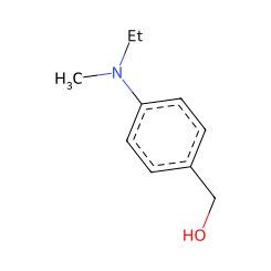 CCN(C)c1ccc(CO)cc1